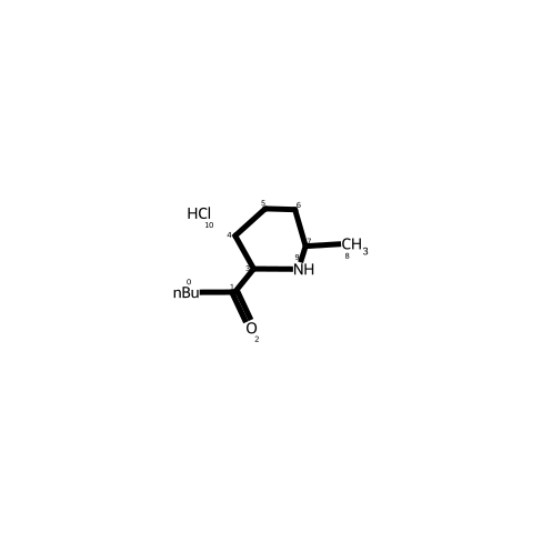 CCCCC(=O)C1CCCC(C)N1.Cl